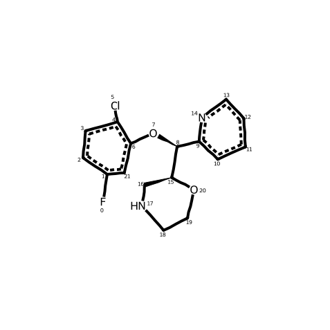 Fc1ccc(Cl)c(O[C@@H](c2ccccn2)[C@@H]2CNCCO2)c1